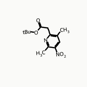 Cc1cc([N+](=O)[O-])c(C)nc1CC(=O)OC(C)(C)C